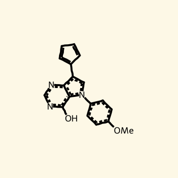 COc1ccc(-n2cc(C3=C=CC=C3)c3ncnc(O)c32)cc1